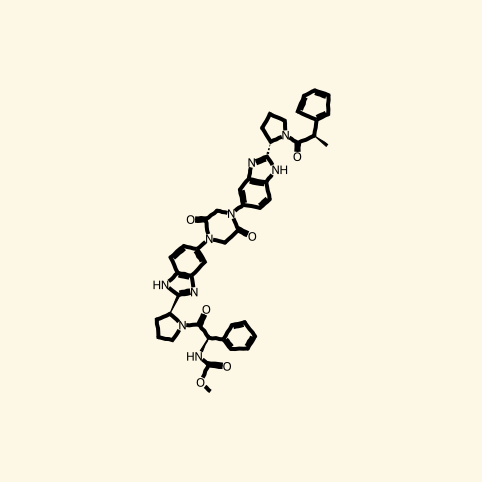 COC(=O)N[C@@H](C(=O)N1CCC[C@H]1c1nc2cc(N3CC(=O)N(c4ccc5[nH]c([C@@H]6CCCN6C(=O)[C@H](C)c6ccccc6)nc5c4)CC3=O)ccc2[nH]1)c1ccccc1